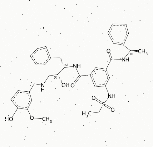 CCS(=O)(=O)Nc1cc(C(=O)N[C@@H](Cc2ccccc2)[C@H](O)CNCc2ccc(O)c(OC)c2)cc(C(=O)N[C@H](C)c2ccccc2)c1